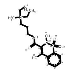 CC[N+](C)(CC)CCCNC(=O)C1=C(O)c2ccccc2S(=O)(=O)N1C